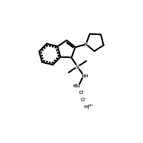 CC(C)(C)N[Si](C)(C)C1C(N2CCCC2)=Cc2ccccc21.[Cl-].[Cl-].[Hf+2]